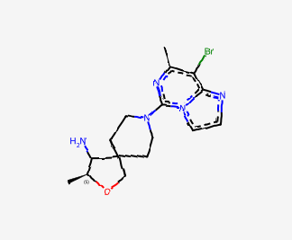 Cc1nc(N2CCC3(CC2)CO[C@@H](C)C3N)n2ccnc2c1Br